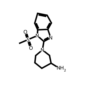 CS(=O)(=O)n1c(N2CCCC(N)C2)nc2ccccc21